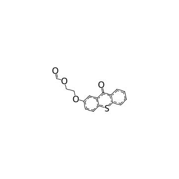 O=COCCOc1ccc2sc3ccccc3c(=O)c2c1